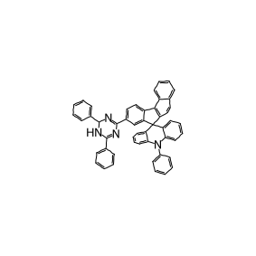 c1ccc(C2=NC(c3ccc4c(c3)C3(c5ccccc5N(c5ccccc5)c5ccccc53)c3ccc5ccccc5c3-4)=NC(c3ccccc3)N2)cc1